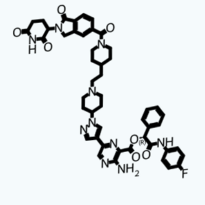 Nc1ncc(-c2cnn(C3CCN(CCC4CCN(C(=O)c5ccc6c(c5)CN(C5CCC(=O)NC5=O)C6=O)CC4)CC3)c2)nc1C(=O)O[C@@H](C(=O)Nc1ccc(F)cc1)c1ccccc1